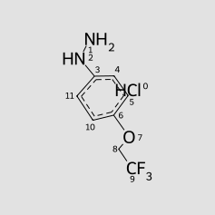 Cl.NNc1ccc(OCC(F)(F)F)cc1